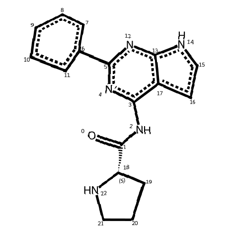 O=C(Nc1nc(-c2ccccc2)nc2[nH]ccc12)[C@@H]1CCCN1